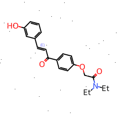 CCN(CC)C(=O)COc1ccc(C(=O)/C=C/c2cccc(O)c2)cc1